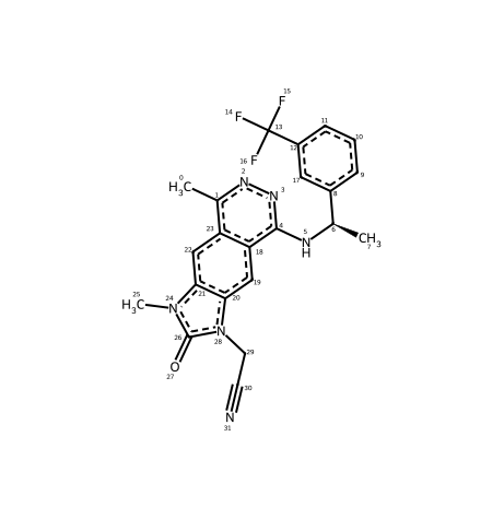 Cc1nnc(N[C@H](C)c2cccc(C(F)(F)F)c2)c2cc3c(cc12)n(C)c(=O)n3CC#N